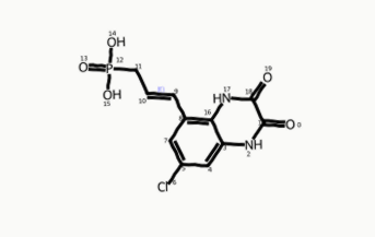 O=c1[nH]c2cc(Cl)cc(/C=C/CP(=O)(O)O)c2[nH]c1=O